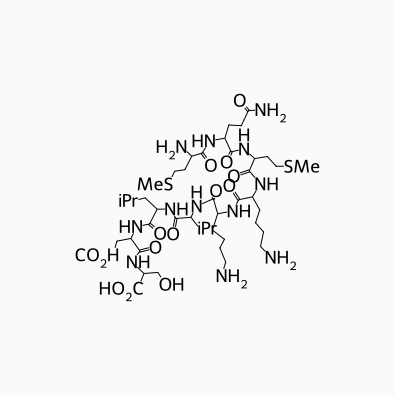 CSCCC(N)C(=O)NC(CCC(N)=O)C(=O)NC(CCSC)C(=O)NC(CCCCN)C(=O)NC(CCCCN)C(=O)NC(C(=O)NC(CC(C)C)C(=O)NC(CC(=O)O)C(=O)NC(CO)C(=O)O)C(C)C